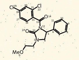 COCCN1CC(c2ccccc2)N(C(=O)c2ccc(Cl)cc2Cl)C1=O